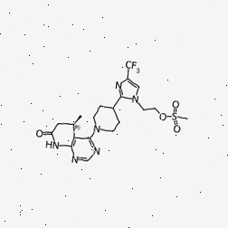 C[C@@H]1CC(=O)Nc2ncnc(N3CCC(c4nc(C(F)(F)F)cn4CCOS(C)(=O)=O)CC3)c21